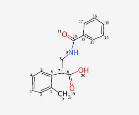 Cc1ccccc1C(CNC(=O)c1ccccc1)C(=O)O